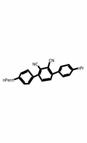 CCCCCc1ccc(-c2ccc(-c3ccc(CCC)cc3)c(C#N)c2C#N)cc1